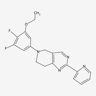 CCOc1cc(N2CCc3nc(-c4ccccn4)ncc3C2)cc(F)c1F